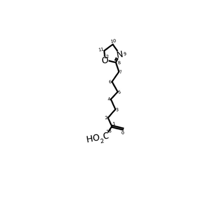 C=C(CCCCCCC1=NCCO1)C(=O)O